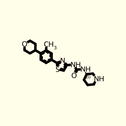 Cc1cc(-c2nc(NC(=O)N[C@H]3CCCNC3)cs2)ccc1C1CCOCC1